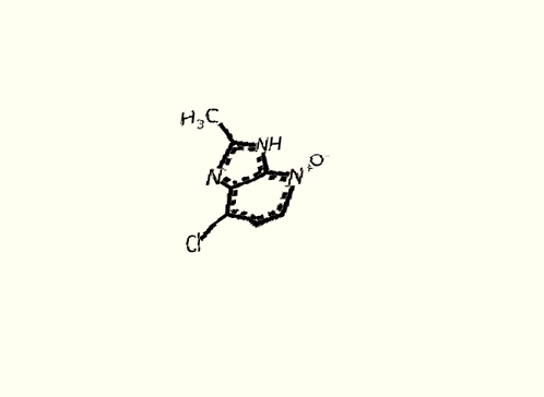 Cc1nc2c(Cl)cc[n+]([O-])c2[nH]1